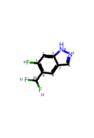 Fc1cc2[nH]ncc2cc1C(F)F